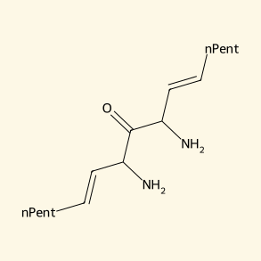 CCCCCC=CC(N)C(=O)C(N)C=CCCCCC